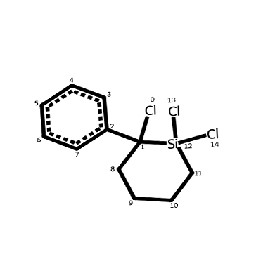 ClC1(c2ccccc2)CCCC[Si]1(Cl)Cl